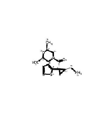 C[C@@H]1CN(C(=O)[C@@]2(c3cccs3)C[C@H]2CN)C[C@H](C)O1